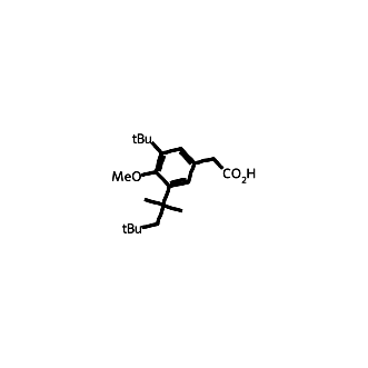 COc1c(C(C)(C)C)cc(CC(=O)O)cc1C(C)(C)CC(C)(C)C